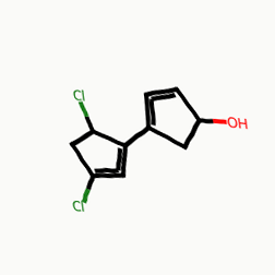 OC1C=C=C(C2=C=C(Cl)CC2Cl)C1